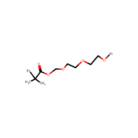 CCOCCOCCOCOC(=O)C(C)(C)CC